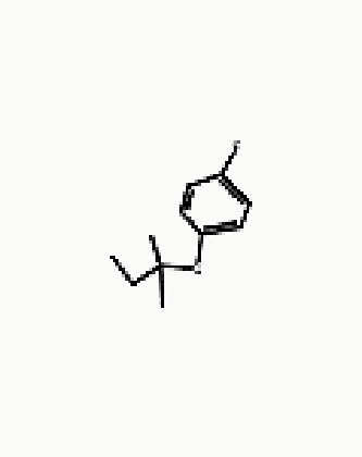 CCC(C)(C)Oc1ccc(F)cc1